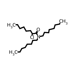 CCCCCCCCN(CCCCCCCC)C(=O)C(Cl)CCCCCC